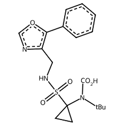 CC(C)(C)N(C(=O)O)C1(S(=O)(=O)NCc2ncoc2-c2ccccc2)CC1